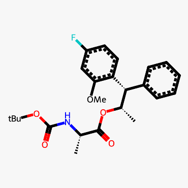 COc1cc(F)ccc1[C@H](c1ccccc1)[C@H](C)OC(=O)[C@H](C)NC(=O)OC(C)(C)C